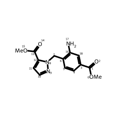 COC(=O)c1ccc(Cn2nccc2C(=O)OC)c(N)c1